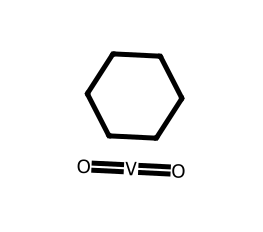 C1CCCCC1.[O]=[V]=[O]